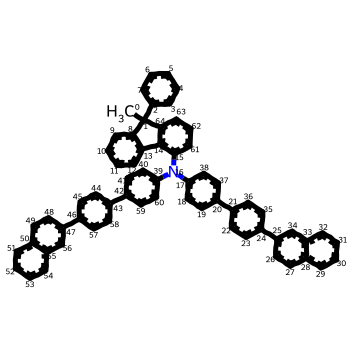 CC1(c2ccccc2)c2ccccc2-c2c(N(c3ccc(-c4ccc(-c5ccc6ccccc6c5)cc4)cc3)c3ccc(-c4ccc(-c5ccc6ccccc6c5)cc4)cc3)cccc21